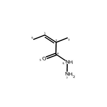 CC=C(C)C(=O)NN